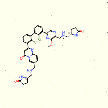 COc1nc(-c2cccc(-c3cccc(-c4cc(=O)n5cc(CNC[C@H]6CCC(=O)N6)ccc5n4)c3Cl)c2Cl)cnc1CNC[C@@H]1CCC(=O)N1